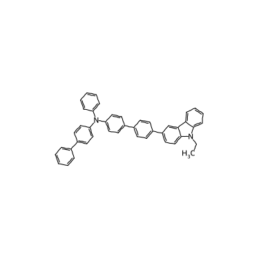 CCn1c2ccccc2c2cc(-c3ccc(-c4ccc(N(c5ccccc5)c5ccc(-c6ccccc6)cc5)cc4)cc3)ccc21